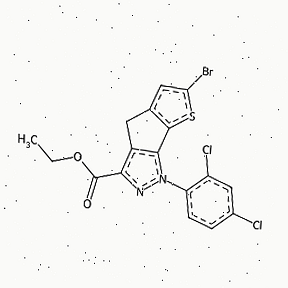 CCOC(=O)c1nn(-c2ccc(Cl)cc2Cl)c2c1Cc1cc(Br)sc1-2